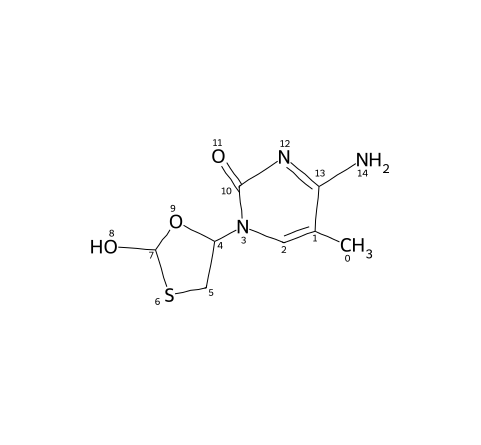 Cc1cn(C2CSC(O)O2)c(=O)nc1N